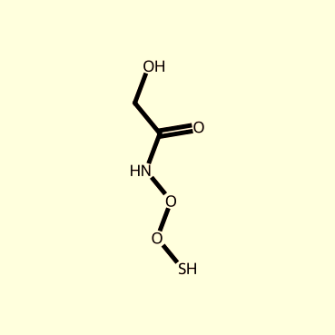 O=C(CO)NOOS